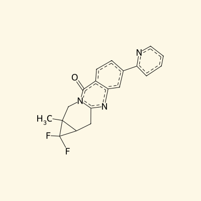 CC12Cn3c(nc4cc(-c5ccccn5)ccc4c3=O)CC1C2(F)F